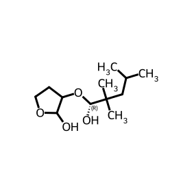 CC(C)CC(C)(C)[C@H](O)OC1CCOC1O